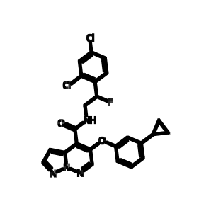 O=C(NCC(F)c1ccc(Cl)cc1Cl)c1c(Oc2cccc(C3CC3)c2)cnn2nccc12